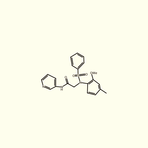 COc1cc(C)ccc1N(CC(=O)Nc1cccnc1)S(=O)(=O)c1ccccc1